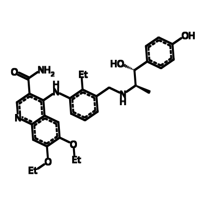 CCOc1cc2ncc(C(N)=O)c(Nc3cccc(CN[C@H](C)[C@H](O)c4ccc(O)cc4)c3CC)c2cc1OCC